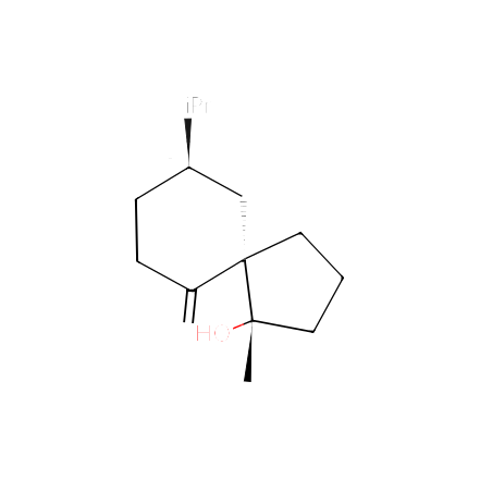 C=C1CC[C@@H](C(C)C)C[C@@]12CCC[C@]2(C)O